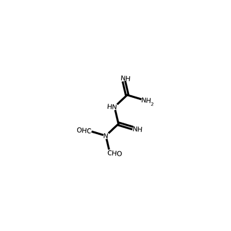 N=C(N)NC(=N)N(C=O)C=O